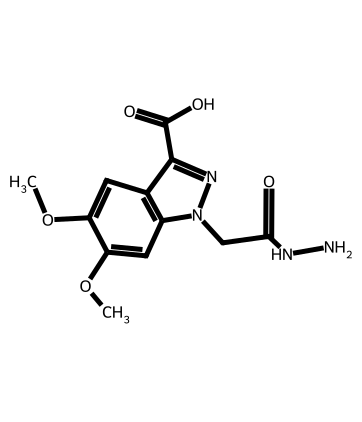 COc1cc2c(C(=O)O)nn(CC(=O)NN)c2cc1OC